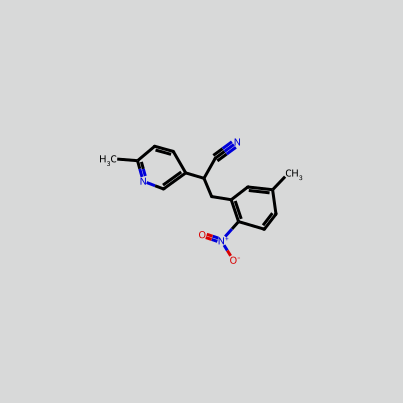 Cc1ccc([N+](=O)[O-])c(CC(C#N)c2ccc(C)nc2)c1